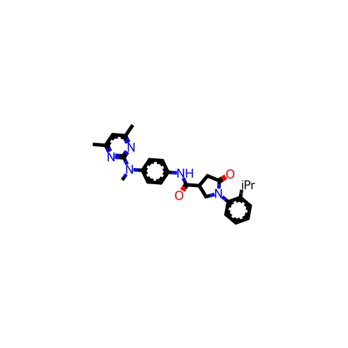 Cc1cc(C)nc(N(C)c2ccc(NC(=O)C3CC(=O)N(c4ccccc4C(C)C)C3)cc2)n1